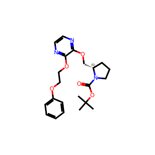 CC(C)(C)OC(=O)N1CCC[C@H]1COc1nccnc1OCCOc1ccccc1